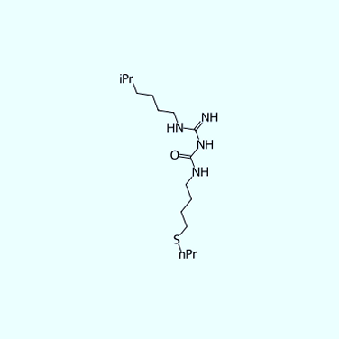 CCCSCCCCNC(=O)NC(=N)NCCCCC(C)C